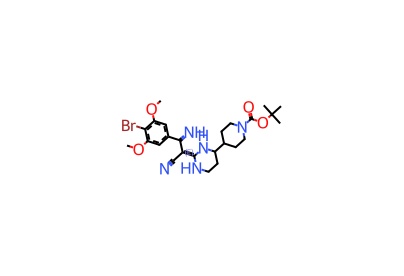 COc1cc(C(=N)/C(C#N)=C2/NCCC(C3CCN(C(=O)OC(C)(C)C)CC3)N2)cc(OC)c1Br